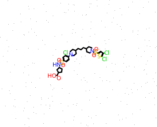 O=C(O)C1CCC(NS(=O)(=O)c2ccc(N3CCC(CCCC4CCN(S(=O)(=O)c5cc(Cl)c(Cl)s5)CC4)CC3)c(Cl)c2)C1